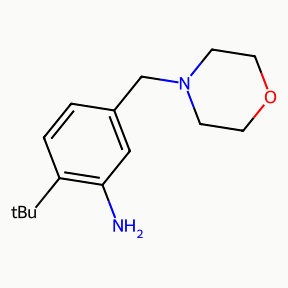 CC(C)(C)c1ccc(CN2CCOCC2)cc1N